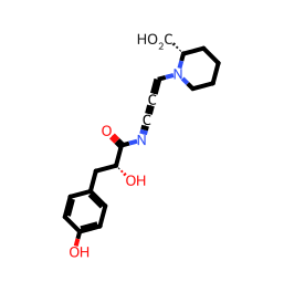 O=C(N=C=C=CN1CCCC[C@H]1C(=O)O)[C@H](O)Cc1ccc(O)cc1